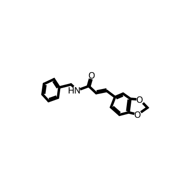 O=C(/C=C/c1ccc2c(c1)OCO2)NCc1ccccc1